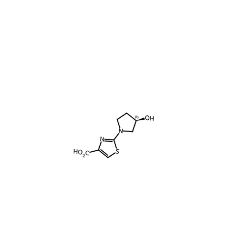 O=C(O)c1csc(N2CC[C@@H](O)C2)n1